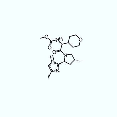 COC(=O)N[C@H](C(=O)N1C[C@H](C)C[C@H]1c1nc(I)c[nH]1)C1CCOCC1